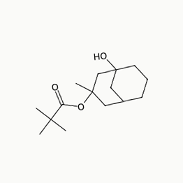 CC1(OC(=O)C(C)(C)C)CC2CCCC(O)(C2)C1